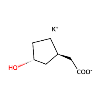 O=C([O-])C[C@@H]1CC[C@@H](O)C1.[K+]